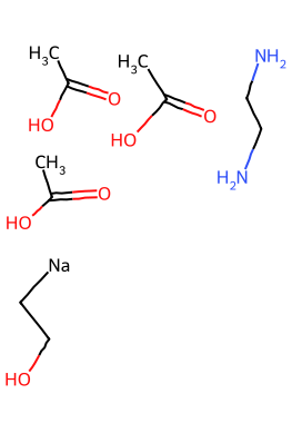 CC(=O)O.CC(=O)O.CC(=O)O.NCCN.OC[CH2][Na]